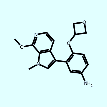 COc1nccc2c(-c3cc(N)ccc3OC3COC3)cn(C)c12